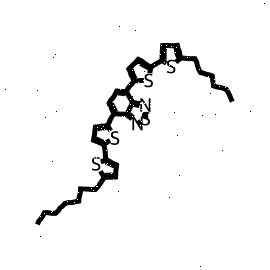 CCCCCCCc1ccc(-c2ccc(-c3ccc(-c4ccc(-c5ccc(CCCCCC)s5)s4)c4nsnc34)s2)s1